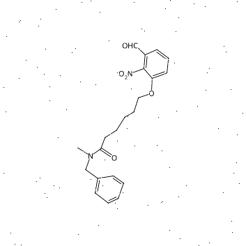 CN(Cc1ccccc1)C(=O)CCCCCOc1cccc(C=O)c1[N+](=O)[O-]